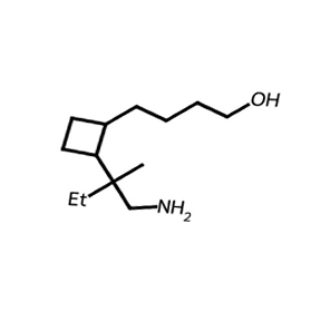 CCC(C)(CN)C1CCC1CCCCO